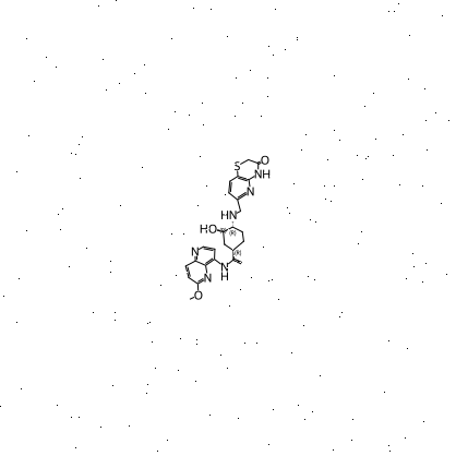 C=C(Nc1ccnc2ccc(OC)nc12)[C@@H]1CC[C@@H](NCc2ccc3c(n2)NC(=O)CS3)[C@H](O)C1